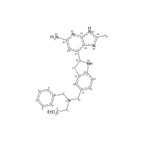 CCOC(=O)CN(Cc1ccccc1)Cc1ccc2c(c1)CC(c1cc(N)nc3[nH]c(C)nc13)N2